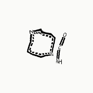 N=C=O.c1cnccn1